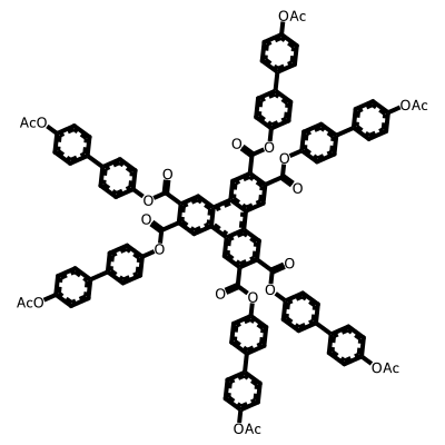 CC(=O)Oc1ccc(-c2ccc(OC(=O)c3cc4c5cc(C(=O)Oc6ccc(-c7ccc(OC(C)=O)cc7)cc6)c(C(=O)Oc6ccc(-c7ccc(OC(C)=O)cc7)cc6)cc5c5cc(C(=O)Oc6ccc(-c7ccc(OC(C)=O)cc7)cc6)c(C(=O)Oc6ccc(-c7ccc(OC(C)=O)cc7)cc6)cc5c4cc3C(=O)Oc3ccc(-c4ccc(OC(C)=O)cc4)cc3)cc2)cc1